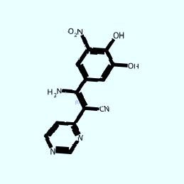 N#C/C(=C(/N)c1cc(O)c(O)c([N+](=O)[O-])c1)c1ccncn1